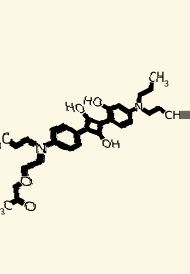 CCCN(CCC)c1ccc(C2C(O)C(c3ccc(N(CCC)CCOCC(C)=O)cc3)C2O)c(O)c1